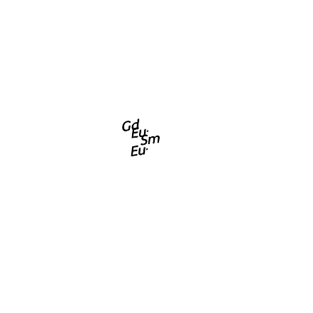 [Eu].[Eu].[Gd].[Sm]